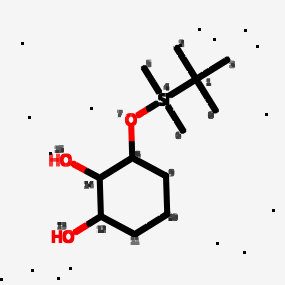 CC(C)(C)[Si](C)(C)OC1CCCC(O)C1O